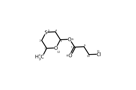 CC1CSCC(OC(=O)CCCl)O1